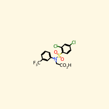 O=C(O)CN(c1cccc(C(F)(F)F)c1)S(=O)(=O)c1ccc(Cl)cc1Cl